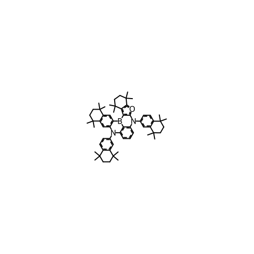 CC1(C)CCC(C)(C)c2cc(N3c4cc5c(cc4B4c6c3cccc6N(c3ccc6c(c3)C(C)(C)CCC6(C)C)c3oc6c(c34)C(C)(C)CCC6(C)C)C(C)(C)CCC5(C)C)ccc21